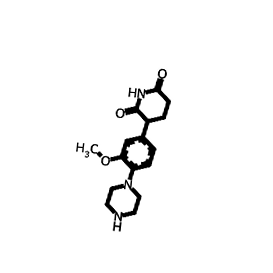 COc1cc(C2CCC(=O)NC2=O)ccc1N1CCNCC1